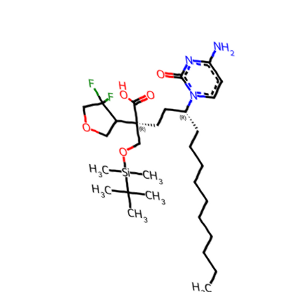 CCCCCCCCCC[C@H](CC[C@@](CO[Si](C)(C)C(C)(C)C)(C(=O)O)C1COCC1(F)F)n1ccc(N)nc1=O